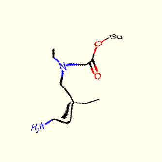 C/C(=C/N)CN(C)C(=O)OC(C)(C)C